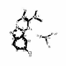 CN(C)C(On1nnc2ccc(Cl)cc21)=[N+](C)C.FB(F)F